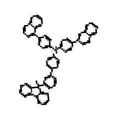 CC1(c2cccc(-c3ccc(N(c4ccc(-c5ccc6ccccc6c5)cc4)c4ccc(-c5cccc6ccccc56)cc4)cc3)c2)c2ccccc2-c2ccccc21